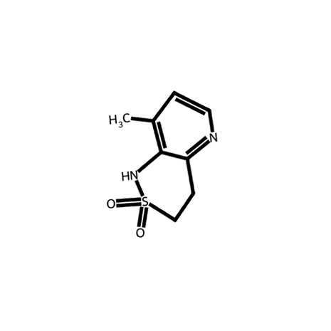 Cc1ccnc2c1NS(=O)(=O)CC2